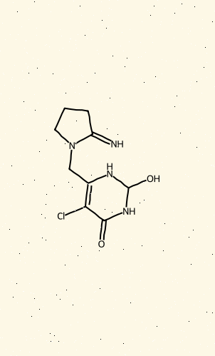 N=C1CCCN1CC1=C(Cl)C(=O)NC(O)N1